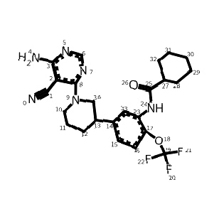 N#Cc1c(N)ncnc1N1CCCC(c2ccc(OC(F)(F)F)c(NC(=O)C3CCCCC3)c2)C1